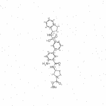 CC(C)(C)OC(=O)N1CC[C@H](NC(=O)c2nc(-c3cccc(S(=O)(=O)N[C@@H]4CCc5ccccc54)c3)cnc2N)C1